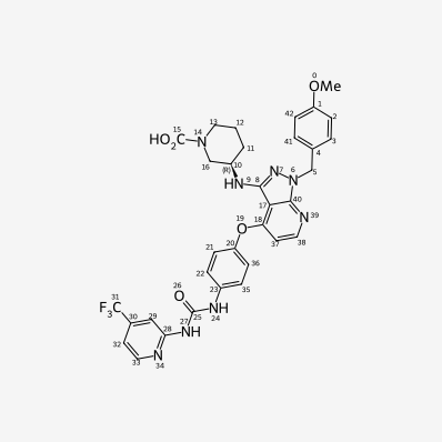 COc1ccc(Cn2nc(N[C@@H]3CCCN(C(=O)O)C3)c3c(Oc4ccc(NC(=O)Nc5cc(C(F)(F)F)ccn5)cc4)ccnc32)cc1